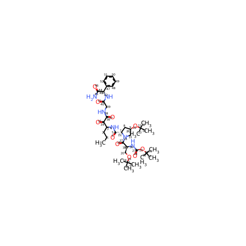 CCCC(NC(=O)[C@@H]1C[C@@H](OC(C)(C)C)CN1C(=O)[C@H](COC(C)(C)C)NC(=O)OC(C)(C)C)C(=O)C(=O)NCC(=O)N[C@H](C(N)=O)c1ccccc1